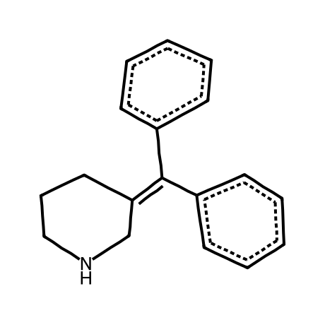 c1ccc(C(=C2CCCNC2)c2ccccc2)cc1